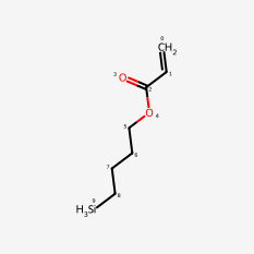 C=CC(=O)OCCCC[SiH3]